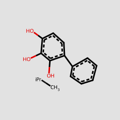 CC(C)C.Oc1ccc(-c2ccccc2)c(O)c1O